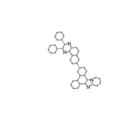 c1ccc(-c2nc3ccc4cc(-c5ccc6c(c5)c5ccccc5c5nc7ccccn7c65)ccc4c3nc2-c2ccccc2)cc1